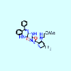 COCCNc1cc(C(F)(F)F)cnc1-c1nnc(N[C@H]2N=C(c3ccccc3)c3ccccc3NC2=O)o1